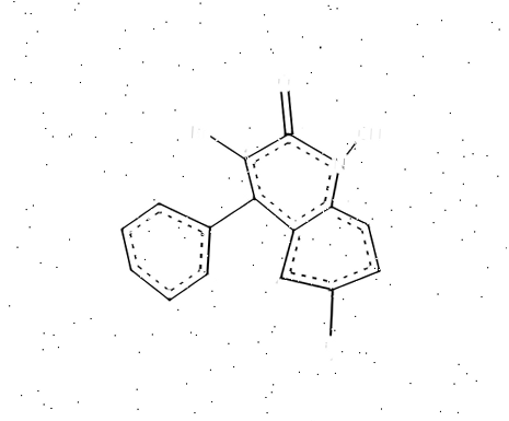 Cn1c(=O)c(Br)c(-c2ccccc2)c2cc(Cl)ccc21